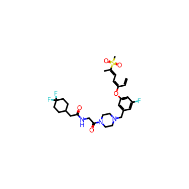 C=C/C(=C\C=C(/C)S(C)(=O)=O)Oc1cc(F)cc(CN2CCN(C(=O)CNC(=O)CC3CCC(F)(F)CC3)CC2)c1